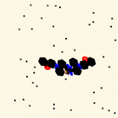 c1ccc2c(c1)oc1cc(-n3c4ccccc4c4c(-c5nsc(-c6cccc7c6c6ccccc6n7-c6ccc7c(c6)oc6ccccc67)n5)cccc43)ccc12